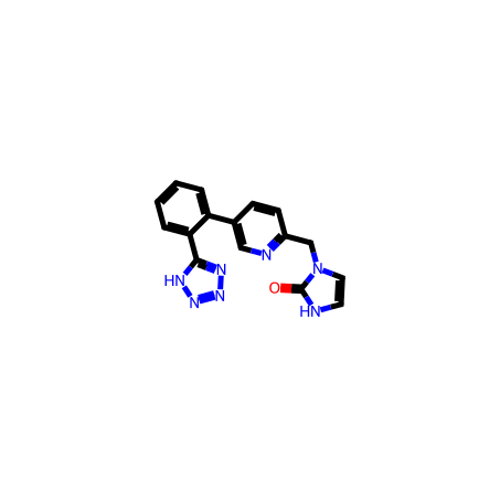 O=c1[nH]ccn1Cc1ccc(-c2ccccc2-c2nnn[nH]2)cn1